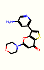 Nc1cncc(-c2csc3c(=O)cc(N4CCOCC4)oc23)c1